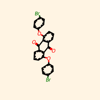 O=C1c2cccc(Oc3ccc(Br)cc3)c2C(=O)c2cccc(Oc3ccc(Br)cc3)c21